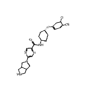 N#CC1=CC=C(O[C@H]2CC[C@H](NC(=O)c3cnc(N4CC5CNCC5C4)cn3)CC2)CC1Cl